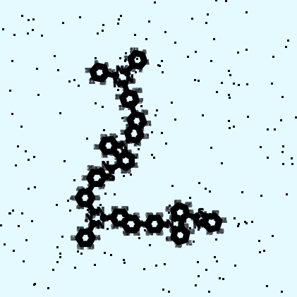 c1ccc(-c2nc(-c3ccccc3)nc(-c3ccc(-c4ccc5ccc(-n6c7ccccc7c7c(-c8nc9ccc(-c%10cccc(-c%11nc(-c%12ccccc%12)nc(-c%12ccc%13cc(-c%14ccc(-n%15c%16ccccc%16c%16c(-c%17nc%18ccccc%18s%17)cccc%16%15)cc%14)ccc%13c%12)n%11)c%10)cc9s8)cccc76)cc5c4)cc3)n2)cc1